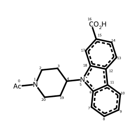 CC(=O)N1CCC(n2c3ccccc3c3ccc(C(=O)O)cc32)CC1